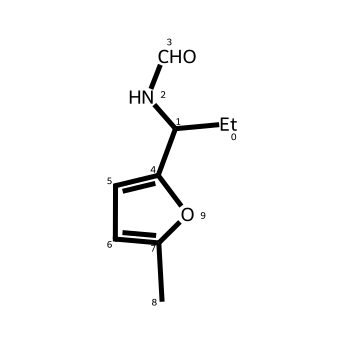 CCC(NC=O)c1ccc(C)o1